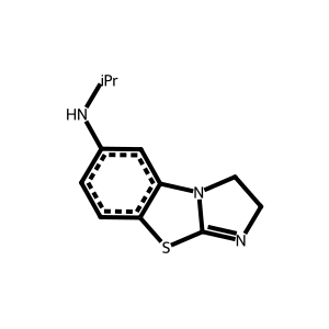 CC(C)Nc1ccc2c(c1)N1CCN=C1S2